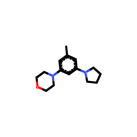 Cc1cc(N2CCCC2)cc(N2CCOCC2)c1